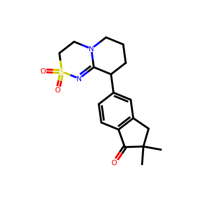 CC1(C)Cc2cc(C3CCCN4CCS(=O)(=O)N=C34)ccc2C1=O